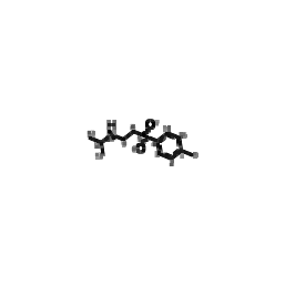 Cc1ccc(S(=O)(=O)CCNC(C)C)cc1